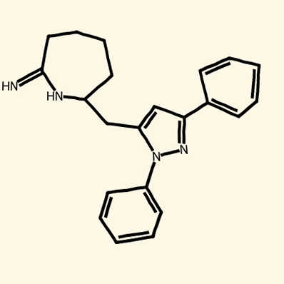 N=C1CCCCC(Cc2cc(-c3ccccc3)nn2-c2ccccc2)N1